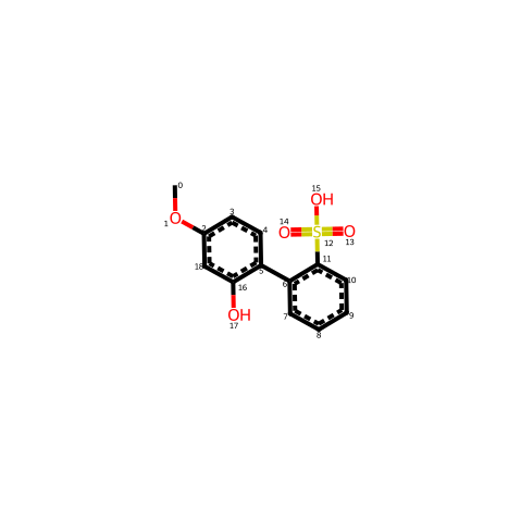 COc1ccc(-c2ccccc2S(=O)(=O)O)c(O)c1